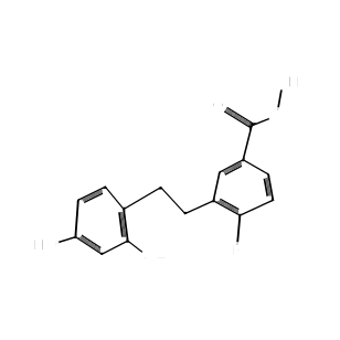 COC(=O)c1ccc(Br)c(CCc2ccc(O)cc2O)c1